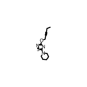 CCC#CCOc1nsc(N2CCCCC2)n1